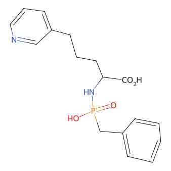 O=C(O)C(CCCc1cccnc1)NP(=O)(O)Cc1ccccc1